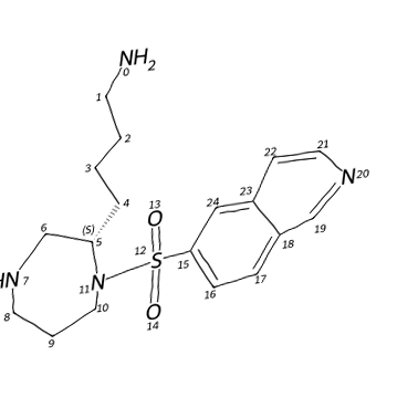 NCCCC[C@H]1CNCCCN1S(=O)(=O)c1ccc2cnccc2c1